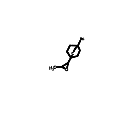 CC(=O)C12CCC(C3OC3C)(CC1)CC2